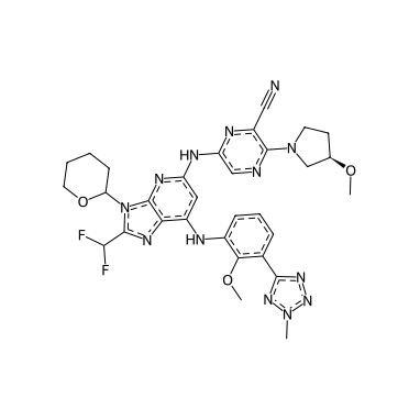 COc1c(Nc2cc(Nc3cnc(N4CC[C@@H](OC)C4)c(C#N)n3)nc3c2nc(C(F)F)n3C2CCCCO2)cccc1-c1nnn(C)n1